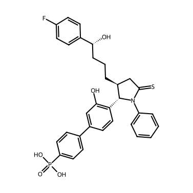 O=P(O)(O)c1ccc(-c2ccc([C@@H]3[C@@H](CCC[C@@H](O)c4ccc(F)cc4)CC(=S)N3c3ccccc3)c(O)c2)cc1